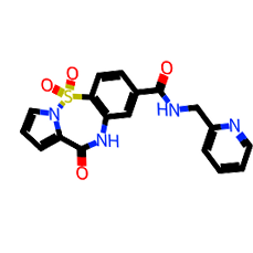 O=C(NCc1ccccn1)c1ccc2c(c1)NC(=O)c1cccn1S2(=O)=O